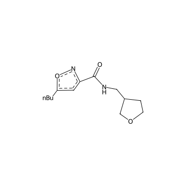 CCCCc1cc(C(=O)NCC2CCOC2)no1